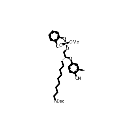 CCCCCCCCCCCCCCCCCCC[C@H](COP(=O)(OC)Oc1ccccc1Cl)Oc1ccc(C#N)c(F)c1